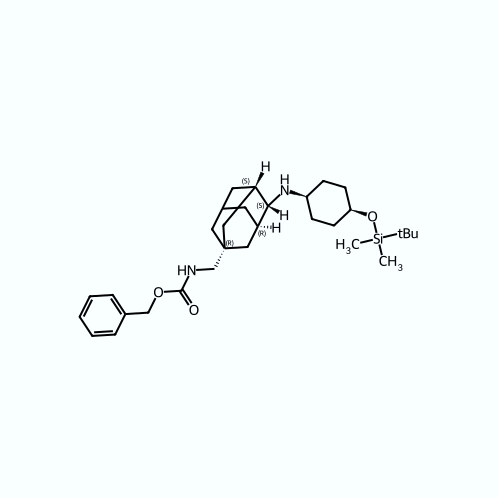 CC(C)(C)[Si](C)(C)O[C@H]1CC[C@@H](N[C@@H]2[C@@H]3CC4C[C@H]2C[C@](CNC(=O)OCc2ccccc2)(C4)C3)CC1